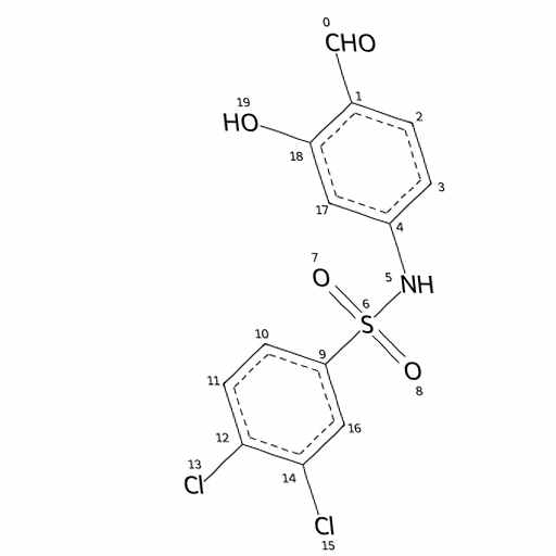 O=Cc1ccc(NS(=O)(=O)c2ccc(Cl)c(Cl)c2)cc1O